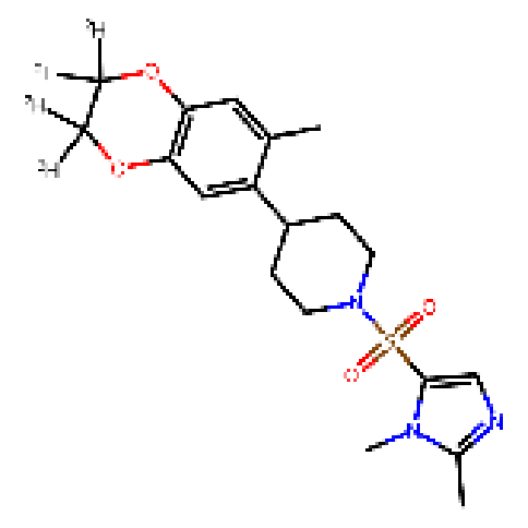 [2H]C1([2H])Oc2cc(C)c(C3CCN(S(=O)(=O)c4cnc(C)n4C)CC3)cc2OC1([2H])[2H]